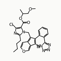 CCCCc1nc(Cl)c(C(=O)OC(C)COC)n1Cc1c2ccocc-2c(Br)c1-c1ccccc1-c1nnn[nH]1